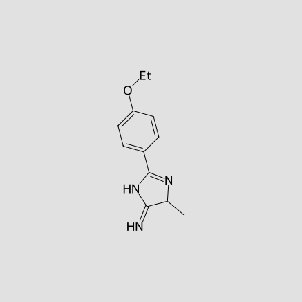 CCOc1ccc(C2=NC(C)C(=N)N2)cc1